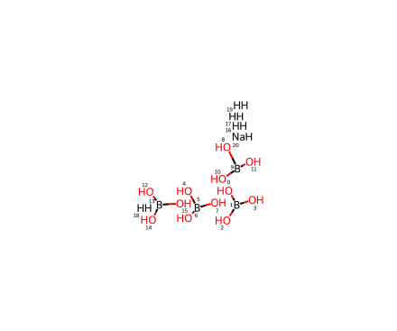 OB(O)O.OB(O)O.OB(O)O.OB(O)O.[HH].[HH].[HH].[HH].[NaH]